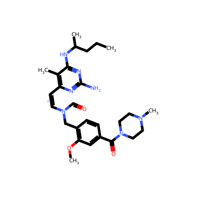 CCCC(C)Nc1nc(N)nc(/C=C\N(C=O)Cc2ccc(C(=O)N3CCN(C)CC3)cc2OC)c1C